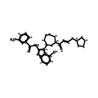 Cc1cc(C(=O)Nc2nc3cccc(Cl)c3n2C2CCCCN(C(=O)C=CCN3CCCC3)C2)ccn1